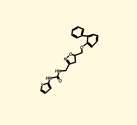 O=C(NCC1=NOC(COc2ccccc2-c2ccccc2)C1)Nc1cccs1